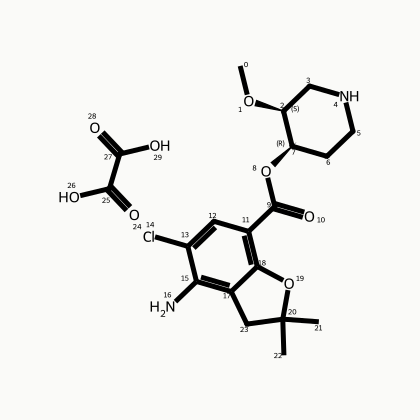 CO[C@H]1CNCC[C@H]1OC(=O)c1cc(Cl)c(N)c2c1OC(C)(C)C2.O=C(O)C(=O)O